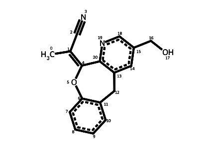 CC(C#N)=C1Oc2ccccc2Cc2cc(CO)cnc21